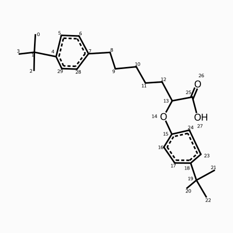 CC(C)(C)c1ccc(CCCCCC(Oc2ccc(C(C)(C)C)cc2)C(=O)O)cc1